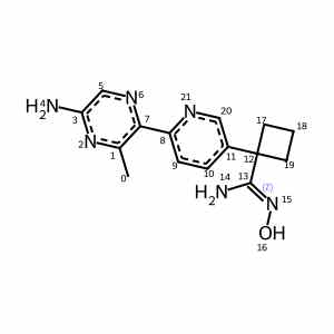 Cc1nc(N)cnc1-c1ccc(C2(/C(N)=N/O)CCC2)cn1